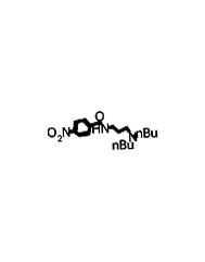 CCCCN(CCCC)CCCNC(=O)c1ccc([N+](=O)[O-])cc1